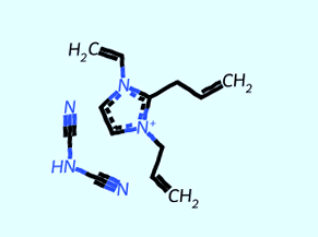 C=CCc1n(C=C)cc[n+]1CC=C.N#CNC#N